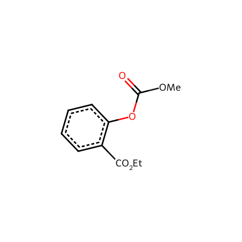 CCOC(=O)c1ccccc1OC(=O)OC